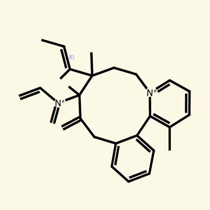 C=C[N+](=C)C1(C)C(=C)Cc2ccccc2-c2c(C)ccc[n+]2CCC1(C)/C(C)=C/C